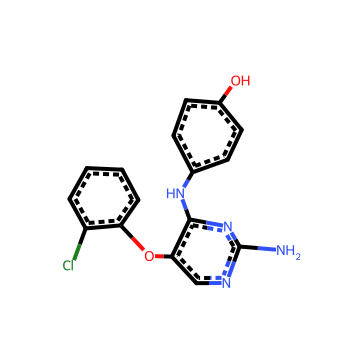 Nc1ncc(Oc2ccccc2Cl)c(Nc2ccc(O)cc2)n1